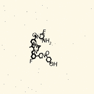 Cc1c(-c2cc3cc(F)cc(C4CCN(C(=O)C5CCC(O)CC5)CC4)c3n2CC2CC2)nn2cc(C(=O)N3C[C@H](N)C[C@@H](F)C3)ccc12